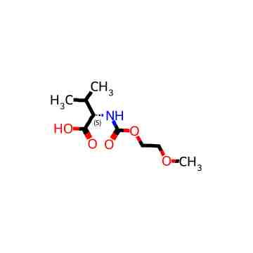 COCCOC(=O)N[C@H](C(=O)O)C(C)C